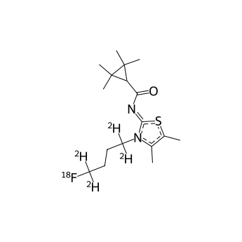 [2H]C([2H])([18F])CCC([2H])([2H])n1c(C)c(C)sc1=NC(=O)C1C(C)(C)C1(C)C